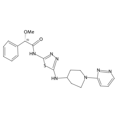 CO[C@H](C(=O)Nc1nnc(NC2CCN(c3cccnn3)CC2)s1)c1ccccc1